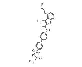 Cc1c(C(=O)Nc2ccc(-c3ccc(S(=O)(=O)NC(C(=O)O)C(C)C)cc3)cc2)oc2cccc(CCCC(C)C)c12